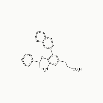 CC(Oc1c(N)cc(CCC(=O)O)cc1-c1ccc2ccccc2c1)c1ccccc1